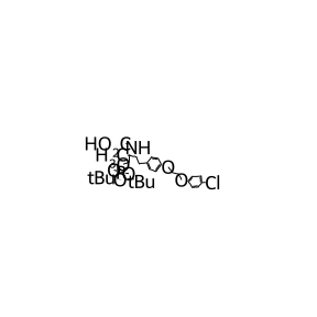 CC(CCc1ccc(OCCOc2ccc(Cl)cc2)cc1)(COP(=O)(OC(C)(C)C)OC(C)(C)C)NC(=O)O